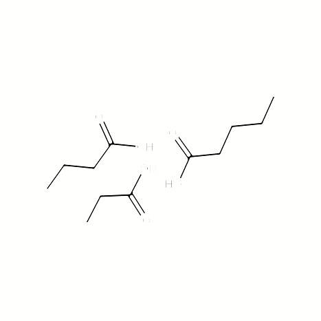 CCC(=O)O.CCCC(=O)O.CCCCC(=O)O